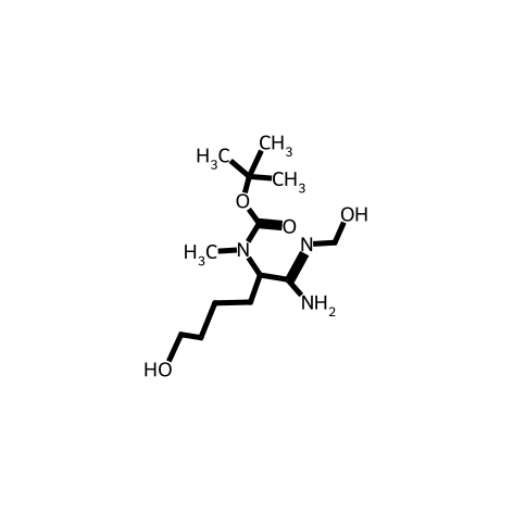 CN(C(=O)OC(C)(C)C)C(CCCCO)/C(N)=N/CO